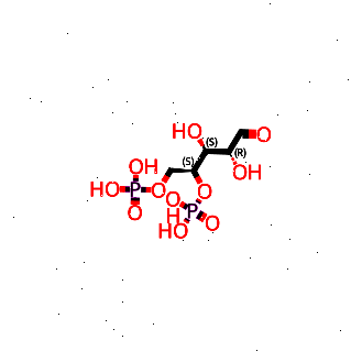 O=C[C@H](O)[C@H](O)[C@H](COP(=O)(O)O)OP(=O)(O)O